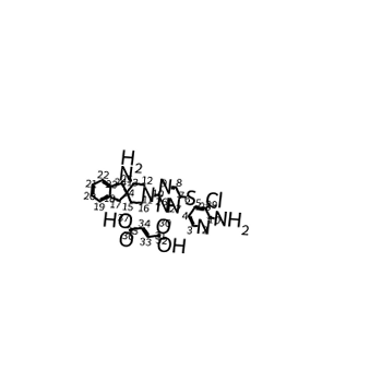 Nc1nccc(Sc2cnc(N3CCC4(CC3)Cc3ccccc3[C@H]4N)nn2)c1Cl.O=C(O)/C=C/C(=O)O